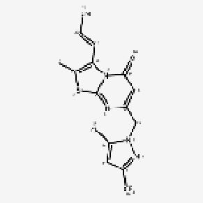 Cc1sc2nc(Cn3nc(C(F)(F)F)cc3Cl)cc(=O)n2c1C=CC#N